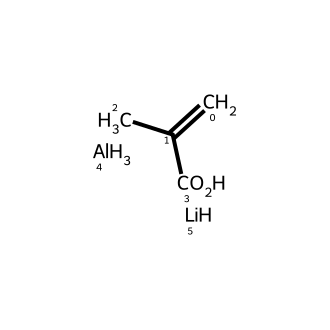 C=C(C)C(=O)O.[AlH3].[LiH]